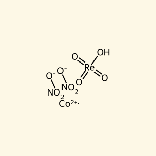 O=[N+]([O-])[O-].O=[N+]([O-])[O-].[Co+2].[O]=[Re](=[O])(=[O])[OH]